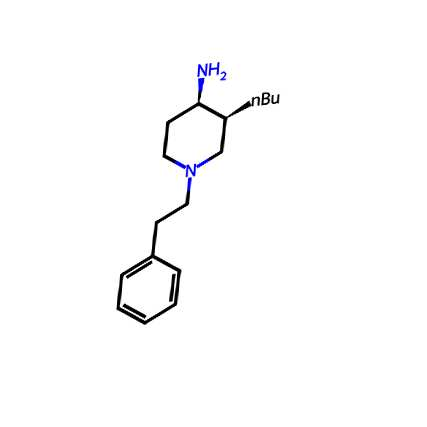 CCCC[C@H]1CN(CCc2ccccc2)CC[C@H]1N